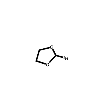 [2H][C]1OCCO1